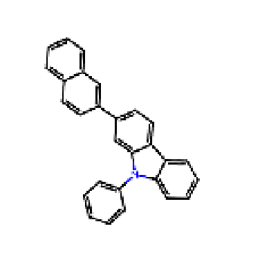 c1ccc(-n2c3ccccc3c3ccc(-c4ccc5ccccc5c4)cc32)cc1